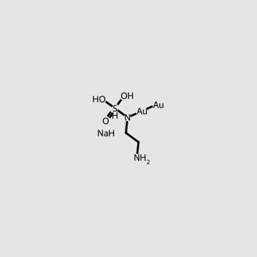 NCC[N]([Au][Au])[SH](=O)(O)O.[NaH]